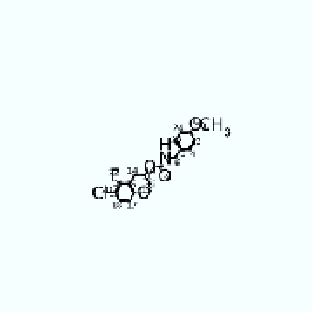 COc1ccc(CNC(=O)OC(C=O)Cc2cccc(Cl)c2F)cc1